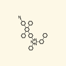 N#Cc1ccc(-c2cc(-c3ccccc3)c(-c3ccc(-c4nc(-c5ccccc5)nc(-c5cccc(-c6ccccc6)c5)n4)cc3)cc2-c2ccccc2)cc1